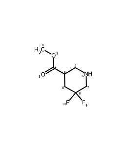 COC(=O)C1CNCC(F)(F)C1